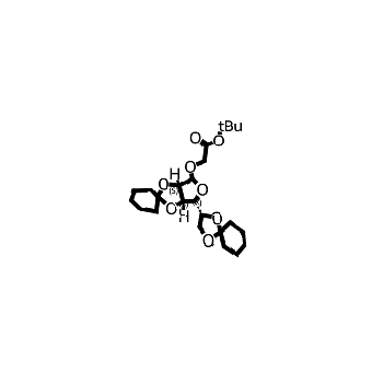 CC(C)(C)OC(=O)COC1O[C@H](C2COC3(CCCCC3)O2)[C@@H]2OC3(CCCCC3)O[C@H]12